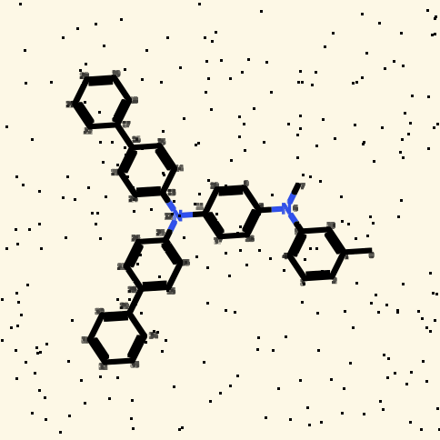 Cc1cccc(N(C)c2ccc(N(c3ccc(-c4ccccc4)cc3)c3ccc(-c4ccccc4)cc3)cc2)c1